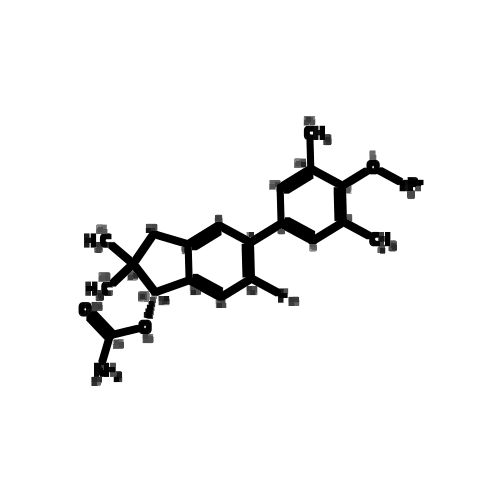 CCCOc1c(C)cc(-c2cc3c(cc2F)[C@H](OC(N)=O)C(C)(C)C3)cc1C